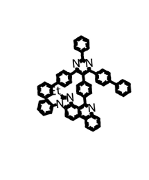 CCc1nc2c3c(-c4ccc(-c5c(-c6ccc(-c7ccccc7)cc6)nc(-c6ccccc6)nc5-c5ccc(-c6ccccc6)cc5)cc4)nc4ccccc4c3ccc2n1-c1ccccc1